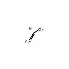 C=CC.[Ir]